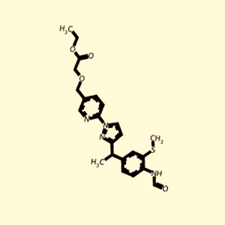 CCOC(=O)COCc1ccc(-n2ccc(C(C)c3ccc(NC=O)c(SC)c3)n2)nc1